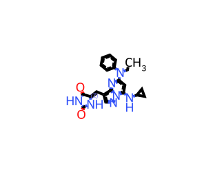 CCN(c1ccccc1)c1cc(NC2CC2)n2ncc(/C=C3\NC(=O)NC3=O)c2n1